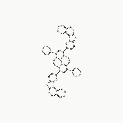 c1ccc(-c2cc(-c3ccc4sc5ccc6ccccc6c5c4c3)c3ccc4c(-c5ccccc5)cc(-c5ccc6sc7ccc8ccccc8c7c6c5)c5ccc2c3c45)cc1